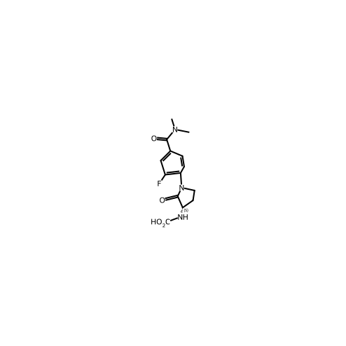 CN(C)C(=O)c1ccc(N2CC[C@H](NC(=O)O)C2=O)c(F)c1